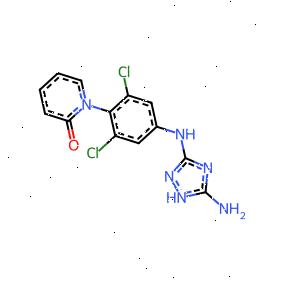 Nc1nc(Nc2cc(Cl)c(-n3ccccc3=O)c(Cl)c2)n[nH]1